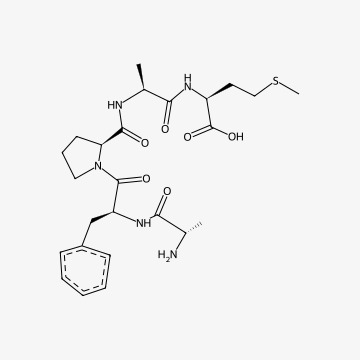 CSCC[C@H](NC(=O)[C@H](C)NC(=O)[C@@H]1CCCN1C(=O)[C@H](Cc1ccccc1)NC(=O)[C@H](C)N)C(=O)O